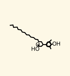 CCCCCCCCCCCCCCCCC(CC(=O)O)c1cc(C)c(O)c(C)c1